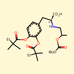 CCC(C)(C)C(=O)Oc1ccc(C[C@H](NCC(C)OC(=O)OCC(C)C)C(=O)O)cc1OC(=O)C(C)(C)CC